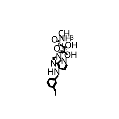 CNC(=O)[C@H]1O[C@@H](n2cnc3c(NCc4cccc(I)c4)ccnc32)C(O)[C@H]1O